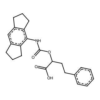 O=C(Nc1c2c(cc3c1CCC3)CCC2)OC(CCc1ccccc1)C(=O)O